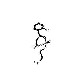 CCCOP(=O)(O)O[C@@H](CC)c1ccccc1Cl